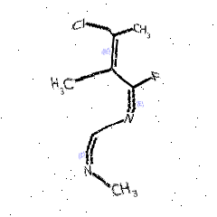 C\N=C/N=C(F)\C(C)=C(/C)Cl